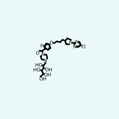 O=CC(c1ccc(OCCCCC2CCN(c3ncc(Cl)cn3)CC2)cc1F)N1CCN(C[C@H](O)[C@@H](O)[C@H](O)[C@H](O)CO)CC1